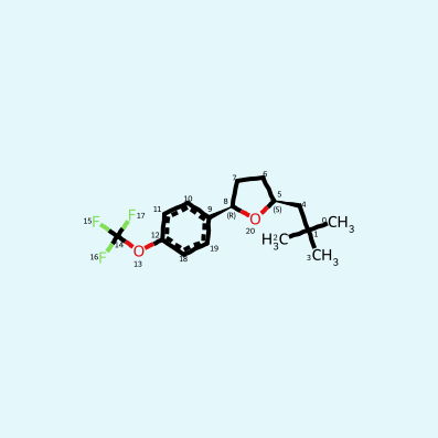 CC(C)(C)C[C@@H]1CC[C@H](c2ccc(OC(F)(F)F)cc2)O1